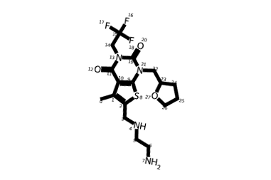 Cc1c(CNCCN)sc2c1c(=O)n(CC(F)(F)F)c(=O)n2CC1CCCO1